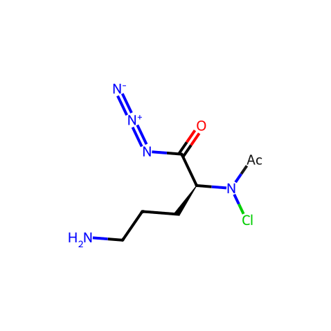 CC(=O)N(Cl)[C@@H](CCCN)C(=O)N=[N+]=[N-]